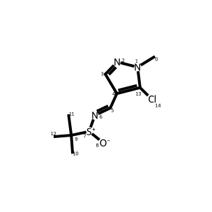 Cn1ncc(C=N[S+]([O-])C(C)(C)C)c1Cl